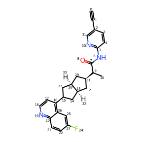 C#Cc1ccc(NC(=O)C(C)[C@H]2C[C@H]3CC(c4ccnc5ccc(F)cc45)C[C@H]3C2)nc1